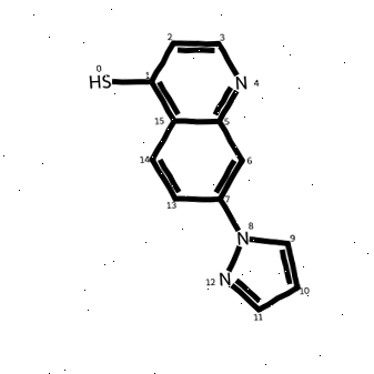 Sc1ccnc2cc(-n3cccn3)ccc12